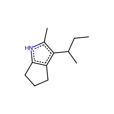 CCC(C)c1c(C)[nH]c2c1CCC2